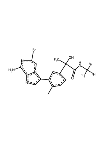 [2H]C([2H])([2H])NC(=O)C(O)(c1ccc(C)c(-c2cnc3c(N)nc(Br)cn23)c1)C(F)(F)F